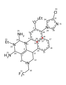 CCOc1cc(N2C3=C(CN(CC(F)(F)F)CC3c3ccccc3)C(N)N(CC)C2N)ccc1-n1cnc(Cl)c1